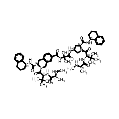 CN[C@@H](C)C(=O)N[C@H](C(=O)N1Cc2cc(C(=O)NC(C)(C)C(=O)N[C@H]3C[C@@H](C(=O)N[C@@H]4CCCc5ccccc54)N(C(=O)[C@@H](NC(=O)[C@H](C)NC)C(C)(C)C)C3)ccc2C[C@H]1C(=O)N[C@@H]1CCCc2ccccc21)C(C)(C)C